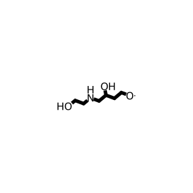 [O]CCC(O)CNCCO